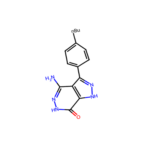 CCCCc1ccc(-c2n[nH]c3c(=O)[nH]nc(N)c23)cc1